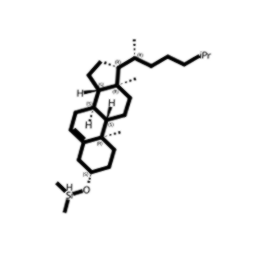 CC(C)CCC[C@@H](C)[C@H]1CC[C@H]2[C@@H]3CC=C4C[C@@H](O[SiH](C)C)CC[C@]4(C)[C@H]3CC[C@]12C